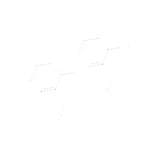 NOc1ccccc1O.NOc1ccccc1O